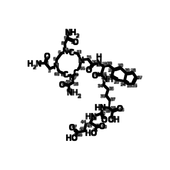 NC(=O)CN1CCN(CC(N)=O)CCN(CC(=O)N[C@@H](Cc2ccc3ccccc3c2)C(=O)NCCCC[C@H](NC(=O)N[C@@H](CCC(=O)O)C(=O)O)C(=O)O)CCN(CC(N)=O)CC1